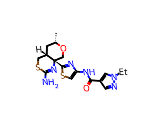 CCn1cc(C(=O)Nc2csc([C@]34CO[C@@H](C)C[C@H]3CSC(N)=N4)n2)cn1